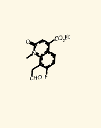 CCOC(=O)c1cc(=O)n(C)c2c(CC=O)c(F)ccc12